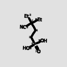 CCC(C#N)(CC)CCP(=O)(O)O